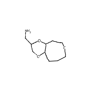 NCC1COC2CCCCCCC2O1